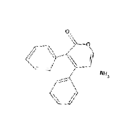 N.O=c1occc(-c2ccccc2)c1-c1ccccc1